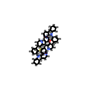 c1ccc([Si](c2ccccc2)(c2nccc3c2oc2c(-n4c5ccccc5c5cccnc54)cccc23)c2nccc3c2sc2c(-n4c5ccccc5c5ccncc54)cccc23)cc1